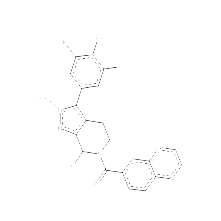 Cc1c(F)cc(-c2c3c(nn2C)C(C)N(C(=O)c2ccc4nccnc4c2)CC3)cc1F